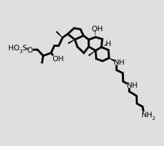 CC(COS(=O)(=O)O)C(O)CC[C@@H](C)C1CCC2C3C(CC[C@@]21C)[C@@]1(C)CC[C@H](NCCCNCCCCN)C[C@@H]1C[C@H]3O